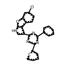 Clc1ccc2c(c1)oc1[nH]cc(-c3nc(-c4ccccc4)nc(-c4ccccc4)n3)c12